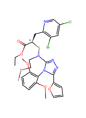 CCOC(=O)[C@@H](Cc1ncc(Cl)cc1Br)SN(CCSI)c1nnc(-c2ccco2)n1-c1c(OC)cccc1OC